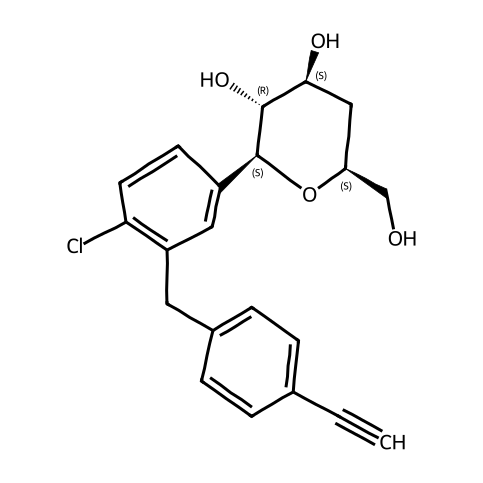 C#Cc1ccc(Cc2cc([C@@H]3O[C@H](CO)C[C@H](O)[C@H]3O)ccc2Cl)cc1